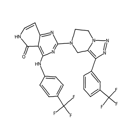 O=c1[nH]ccc2nc(N3CCn4nnc(-c5cccc(C(F)(F)F)c5)c4C3)nc(Nc3ccc(C(F)(F)F)cc3)c12